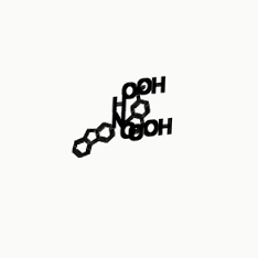 O=C(O)c1ccc(C(=O)O)c(C(=O)Nc2ccc3c(c2)Cc2ccccc2-3)c1